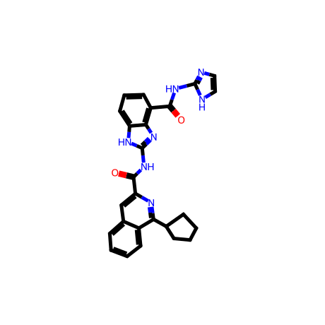 O=C(Nc1nc2c(C(=O)Nc3ncc[nH]3)cccc2[nH]1)c1cc2ccccc2c(C2CCCC2)n1